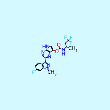 CC(CC(F)(F)F)NC(=O)Oc1c[nH]c2ncc(-c3nn(C)c4cc(F)ccc34)nc12